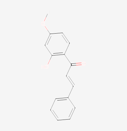 CC(C)Oc1ccc(C(=O)/C=C/c2ccccc2)c(O)c1